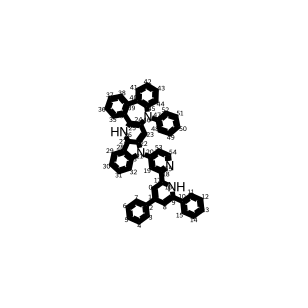 C1=C(c2ccccc2)C=C(c2ccccc2)NC1c1cc(N2C3=CC4=C(NC3c3ccccc32)c2ccccc2-c2ccccc2N4c2ccccc2)ccn1